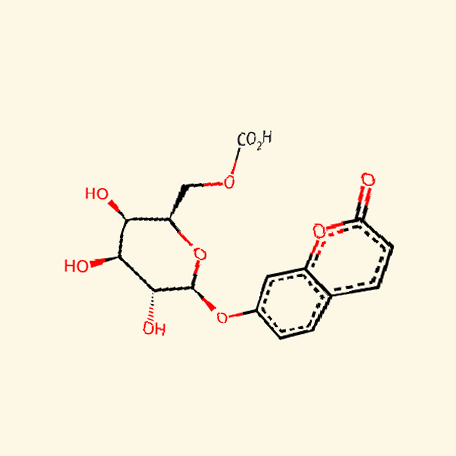 O=C(O)OC[C@H]1O[C@@H](Oc2ccc3ccc(=O)oc3c2)[C@H](O)[C@@H](O)[C@H]1O